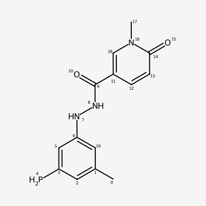 Cc1cc(P)cc(NNC(=O)c2ccc(=O)n(C)c2)c1